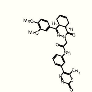 COc1ccc(C2=NN(CC(=O)Nc3cccc(-c4nnc(=O)sc4C)c3)C(=O)[C@@H]3CC=CC[C@H]23)cc1OC